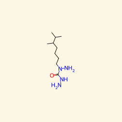 CC(C)C(C)CCCCN(N)C(=O)NN